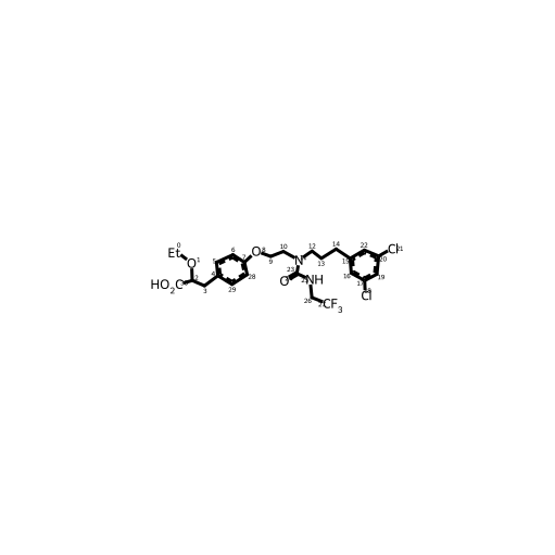 CCOC(Cc1ccc(OCCN(CCCc2cc(Cl)cc(Cl)c2)C(=O)NCC(F)(F)F)cc1)C(=O)O